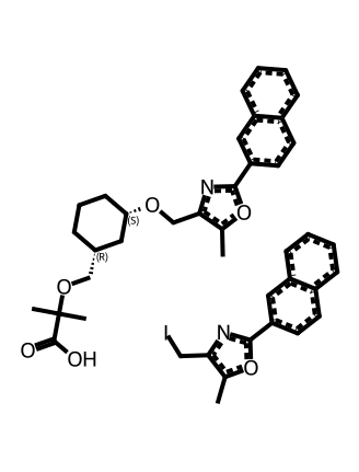 Cc1oc(-c2ccc3ccccc3c2)nc1CI.Cc1oc(-c2ccc3ccccc3c2)nc1CO[C@H]1CCC[C@@H](COC(C)(C)C(=O)O)C1